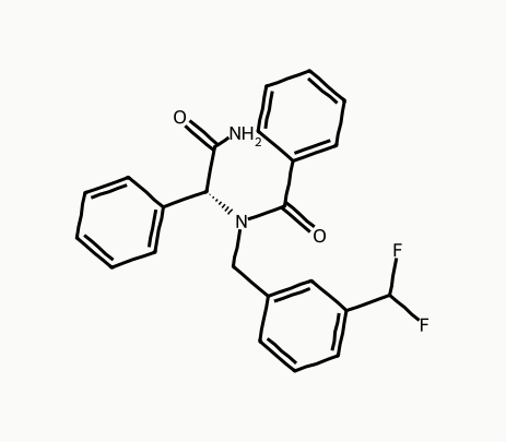 NC(=O)[C@@H](c1ccccc1)N(Cc1cccc(C(F)F)c1)C(=O)c1ccccc1